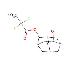 O=C1CC2CC3CC1CC(C3)C2OC(=O)C(F)(F)S(=O)(=O)O